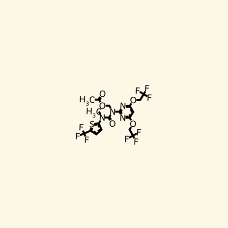 CC(=O)OCN(C(=O)N(C)c1ccc(C(F)(F)F)s1)c1nc(OCC(F)(F)F)cc(OCC(F)(F)F)n1